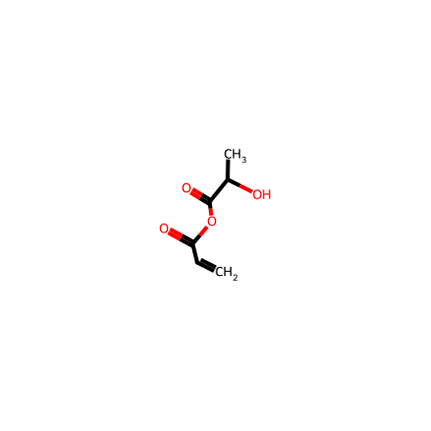 C=CC(=O)OC(=O)C(C)O